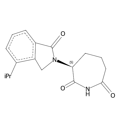 CC(C)c1cccc2c1CN([C@H]1CCCC(=O)NC1=O)C2=O